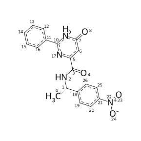 C[C@H](NC(=O)c1cc(=O)[nH]c(-c2ccccc2)n1)c1ccc([N+](=O)[O-])cc1